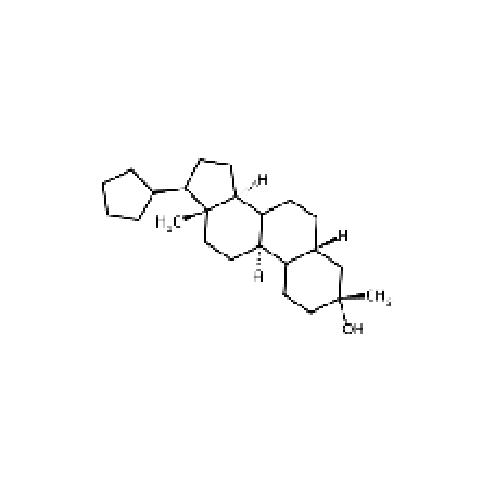 C[C@@]1(O)CCC2[C@H](CCC3[C@@H]2CC[C@]2(C)[C@@H](C4CCCC4)CC[C@@H]32)C1